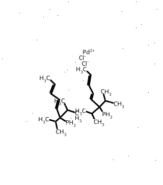 CC=CC=CC(P)(C(C)C)C(C)C.CC=CC=CC(P)(C(C)C)C(C)C.[Cl-].[Cl-].[Pd+2]